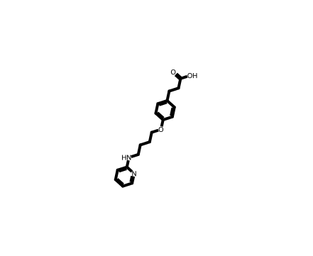 O=C(O)CCc1ccc(OCCCCNc2ccccn2)cc1